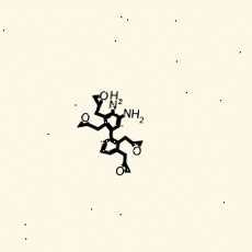 Nc1[c]c(-c2[c]ccc(CC3CO3)c2CC2CO2)c(CC2CO2)c(CC2CO2)c1N